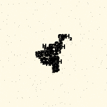 CC(C)(C)NC(=O)[C@@H]1CN(Cc2cccnc2)CCN1C[C@H](C[C@@H](Cc1ccccc1)C(=O)N[C@H]1c2ccccc2C[C@H]1O)OC(=O)CCCCCNC(=O)CCCC(N)=O